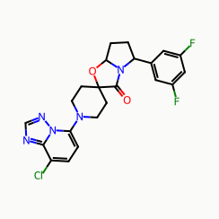 O=C1N2C(CCC2c2cc(F)cc(F)c2)OC12CCN(c1ccc(Cl)c3ncnn13)CC2